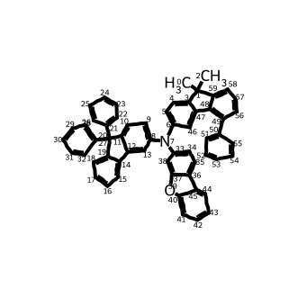 CC1(C)c2ccc(N(c3ccc4c(c3)-c3ccccc3C4(c3ccccc3)c3ccccc3)c3ccc4c(c3)oc3ccccc34)cc2-c2c(-c3ccccc3)cccc21